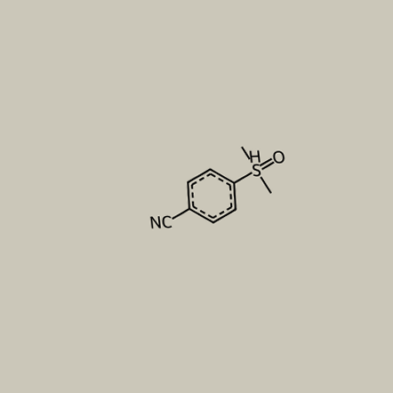 C[SH](C)(=O)c1ccc(C#N)cc1